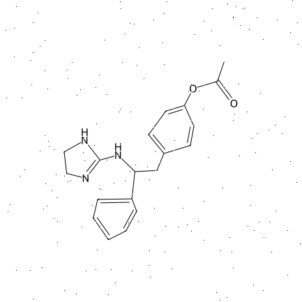 CC(=O)Oc1ccc(CC(NC2=NCCN2)c2ccccc2)cc1